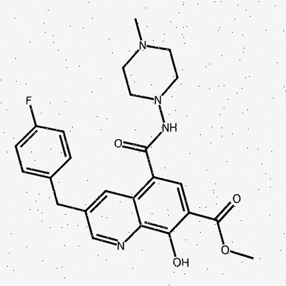 COC(=O)c1cc(C(=O)NN2CCN(C)CC2)c2cc(Cc3ccc(F)cc3)cnc2c1O